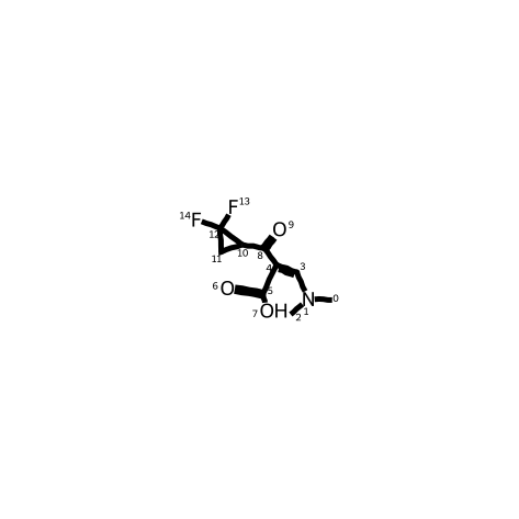 CN(C)C=C(C(=O)O)C(=O)C1CC1(F)F